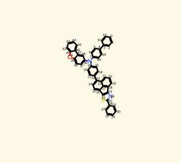 c1ccc(-c2ccc(N(c3ccc(-c4ccc5c6c(cccc46)-c4nc(-c6ccccc6)sc4-5)cc3)c3ccc4oc5ccccc5c4c3)cc2)cc1